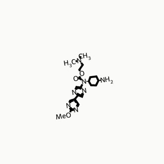 COc1ncc(-c2cnc(N(C(=O)OCCN(C)C)[C@H]3CC[C@H](N)CC3)cn2)cn1